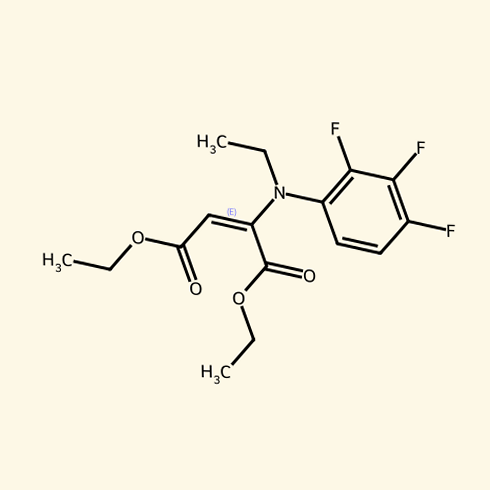 CCOC(=O)/C=C(\C(=O)OCC)N(CC)c1ccc(F)c(F)c1F